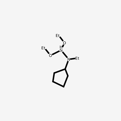 CCO[SiH](OCC)N(CC)C1CCCC1